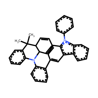 CC1(C)c2ccccc2N(c2ccccc2C2=Cc3c(n(-c4ccccc4)c4ccccc34)CC2)C2C#CC=CC21